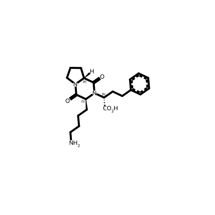 NCCCC[C@H]1C(=O)N2CCC[C@@H]2C(=O)N1[C@H](CCc1ccccc1)C(=O)O